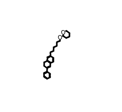 C1=C(c2ccccc2)CCc2cc(CCCCCCOC3CCCCO3)ccc21